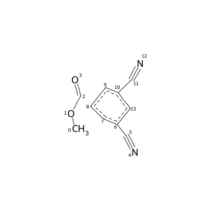 COC=O.N#Cc1cccc(C#N)c1